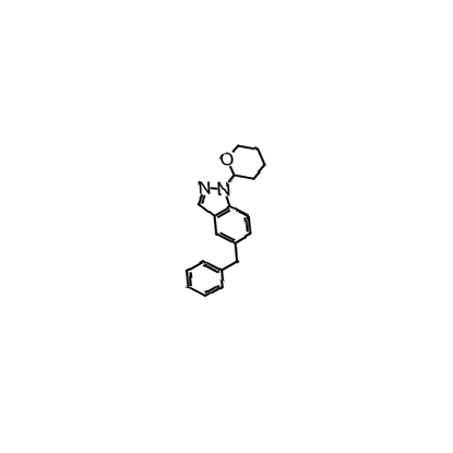 c1ccc(Cc2ccc3c(cnn3C3CCCCO3)c2)cc1